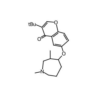 CC1CN(C)CCCC1Oc1ccc2occ(C(C)(C)C)c(=O)c2c1